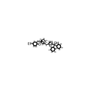 CCc1ccc(O[C@H]2C[N+]3(Cc4cnc(C(O)(c5ccccc5)c5ccccc5)o4)CCC2CC3)cc1